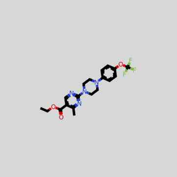 CCOC(=O)c1cnc(N2CCN(c3ccc(OC(F)(F)F)cc3)CC2)nc1C